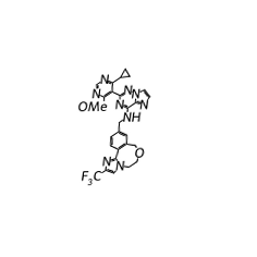 COc1ncnc(C2CC2)c1-c1nc(NCc2ccc3c(c2)COCCn2cc(C(F)(F)F)nc2-3)c2nccn2n1